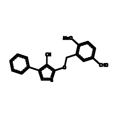 COc1ccc(C=O)cc1COc1scc(-c2ccccc2)c1C#N